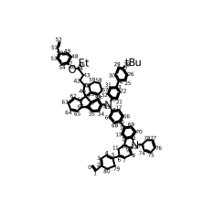 C=CC1=CC=C(C2=CC=C3C(C2)c2cc(-c4ccc(N(c5ccc(-c6ccc(C(C)(C)C)cc6)cc5)c5ccc6c(c5)C(CCCCC(CC)Oc5ccc(C=C)cc5)(C5=CCCCC5)C5C=CC=CC65)cc4)ccc2N3C2C=CC=CC2)CC1